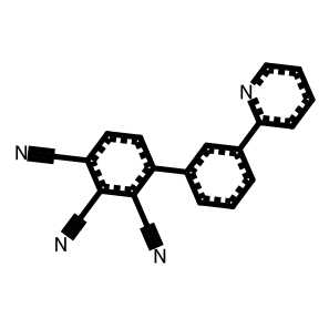 N#Cc1ccc(-c2cccc(-c3ccccn3)c2)c(C#N)c1C#N